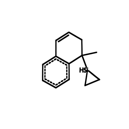 CC1([SiH]2CC2)CC=Cc2ccccc21